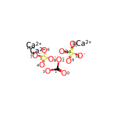 O=C([O-])[O-].O=S(=O)([O-])[O-].O=S(=O)([O-])[O-].[Ca+2].[Ca+2].[Ca+2]